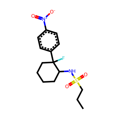 CCCS(=O)(=O)NC1CCCCC1(F)c1ccc([N+](=O)[O-])cc1